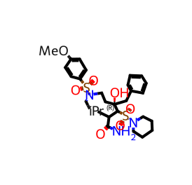 COc1ccc(S(=O)(=O)N(CC[C@](O)(Cc2ccccc2)C(C(C)C(N)=O)S(=O)(=O)N2CCCCC2)CC(C)C)cc1